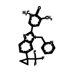 Cc1cc(-c2nc3ccc(C4(C(F)(F)F)CC4)cc3n2Cc2ccccn2)cn(C)c1=O